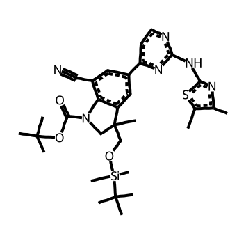 Cc1nc(Nc2nccc(-c3cc(C#N)c4c(c3)C(C)(CO[Si](C)(C)C(C)(C)C)CN4C(=O)OC(C)(C)C)n2)sc1C